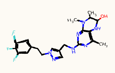 Cc1nc(NCc2cnn(CCc3cc(F)c(F)c(F)c3)c2)nc2c1NC(O)[C@H](C)N2C